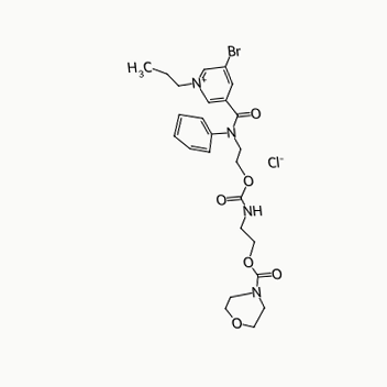 CCC[n+]1cc(Br)cc(C(=O)N(CCOC(=O)NCCOC(=O)N2CCOCC2)c2ccccc2)c1.[Cl-]